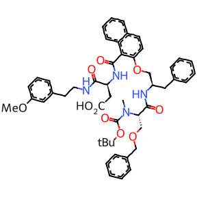 COc1cccc(CCNC(=O)[C@H](CC(=O)O)NC(=O)c2c(OC[C@@H](Cc3ccccc3)NC(=O)[C@H](COCc3ccccc3)N(C)C(=O)OC(C)(C)C)ccc3ccccc23)c1